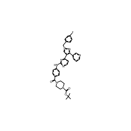 CC(C)(C)OC(=O)N1CCN(C(=O)c2ccc(Nc3nccc(-c4cn(Cc5ccc(F)cc5)nc4-c4cccnc4)n3)cc2)CC1